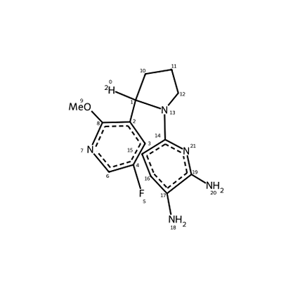 [2H]C1(c2cc(F)cnc2OC)CCCN1c1ccc(N)c(N)n1